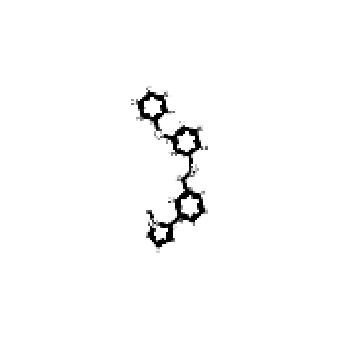 Cn1cccc1-c1cccc(C[N]c2cccc(Oc3ccccc3)c2)c1